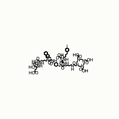 O=C(O)CC[C@H](NC(O)N[C@@H](CCCCNC(=O)[C@H](Cc1ccc2ccccc2c1)NC(=O)[C@H]1CC[C@H](CNC(=O)[C@H](CCCCNC(=O)CN2CCN(CC(=O)O)CCN(CC(=O)O)CCN(CC(=O)O)CC2)NC(=O)[C@H](CCC(=O)O)NC(=O)CCCc2ccc(I)cc2)CC1)C(=O)O)C(=O)O